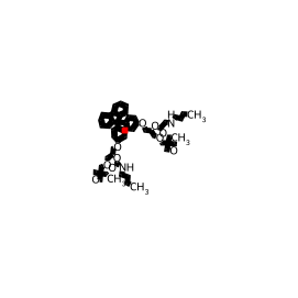 CCCCNCC(=O)OC(COCC1(CC)COC1)COc1ccc(C2(c3ccc(OCC(COCC4(CC)COC4)OC(=O)NCCCC)cc3)c3ccccc3-c3ccccc32)cc1